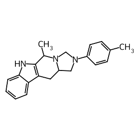 Cc1ccc(N2CC3Cc4c([nH]c5ccccc45)C(C)N3C2)cc1